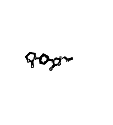 C=NC[C@H]1CN(c2ccc(N3CCCOC3=O)cc2)C(=O)O1